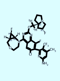 [2H]C([2H])(Oc1nc(N2CCOC[C@@H]3[C@@H](F)[C@@H]32)c2cc(Cl)c(-c3nc(N)cc(C)c3C(F)(F)F)c(F)c2n1)[C@@]12CCCN1C[C@H](F)C2